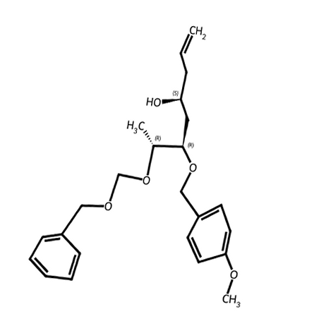 C=CC[C@H](O)C[C@@H](OCc1ccc(OC)cc1)[C@@H](C)OCOCc1ccccc1